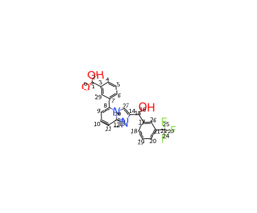 O=C(O)c1cccc(-c2cccc3nc(C(O)c4cccc(C(F)(F)F)c4)cn23)c1